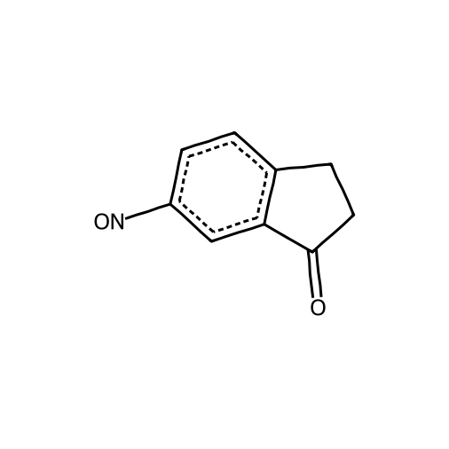 O=Nc1ccc2c(c1)C(=O)CC2